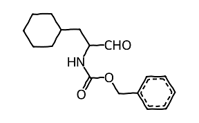 O=CC(CC1CCCCC1)NC(=O)OCc1ccccc1